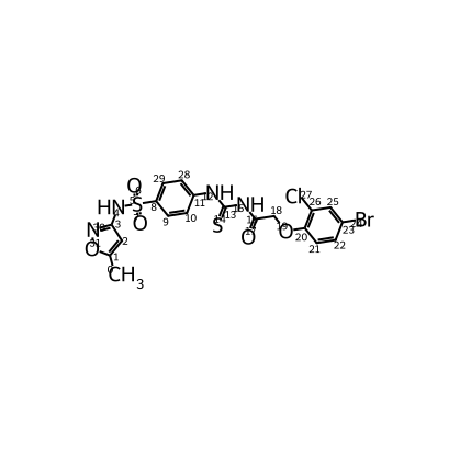 Cc1cc(NS(=O)(=O)c2ccc(NC(=S)NC(=O)COc3ccc(Br)cc3Cl)cc2)no1